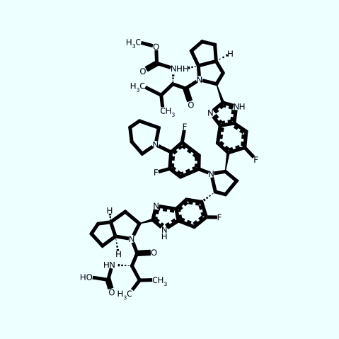 COC(=O)N[C@H](C(=O)N1[C@H](c2nc3cc([C@H]4CC[C@H](c5cc6nc([C@@H]7C[C@@H]8CCC[C@@H]8N7C(=O)[C@@H](NC(=O)O)C(C)C)[nH]c6cc5F)N4c4cc(F)c(N5CCCCC5)c(F)c4)c(F)cc3[nH]2)C[C@@H]2CCC[C@@H]21)C(C)C